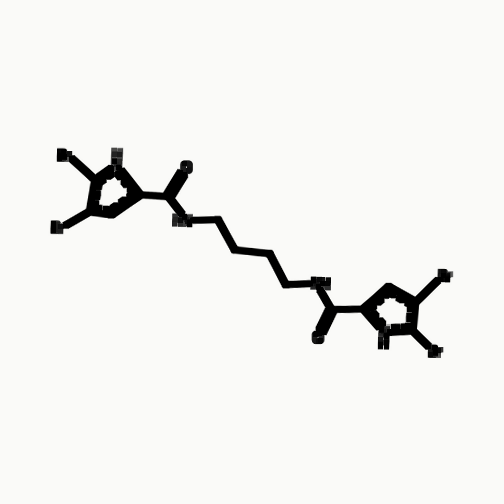 O=C(NCCCCNC(=O)c1cc(Br)c(Br)[nH]1)c1cc(Br)c(Br)[nH]1